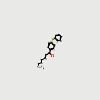 CCCCCCC(=O)c1ccc(Sc2ccccc2)cc1